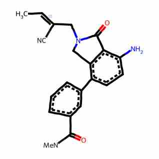 C/C=C(\C#N)CN1Cc2c(-c3cccc(C(=O)NC)c3)ccc(N)c2C1=O